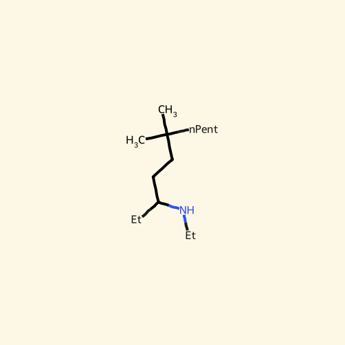 CCCCCC(C)(C)CCC(CC)NCC